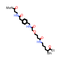 CCCC(CCCCNC(=O)CCCOCC(=O)NCc1ccc(CC(=O)NCCC(=O)NC)cc1)C(=O)CC